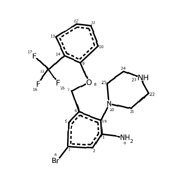 Nc1cc(Br)cc(COc2ccccc2C(F)(F)F)c1N1CCNCC1